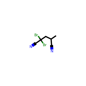 CC(C#N)CC(Br)(Br)C#N